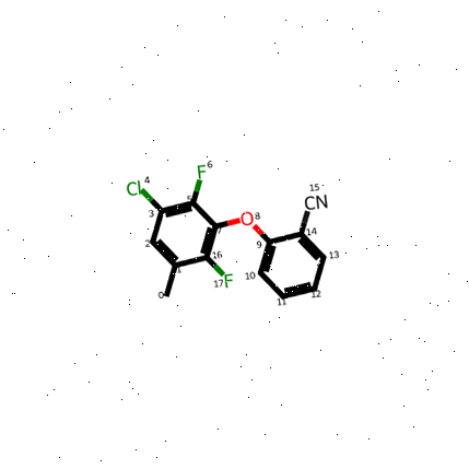 Cc1cc(Cl)c(F)c(Oc2ccccc2C#N)c1F